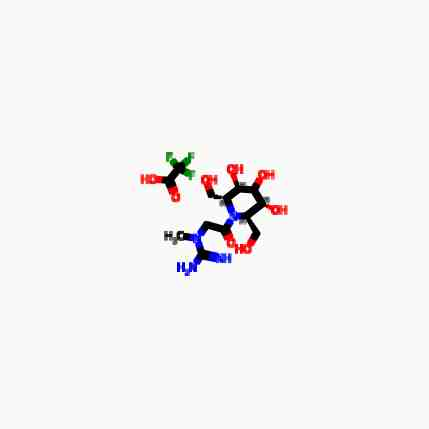 CN(CC(=O)N1[C@H](CO)[C@@H](O)C(O)[C@H](O)[C@H]1CO)C(=N)N.O=C(O)C(F)(F)F